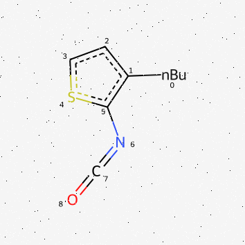 CCCCc1ccsc1N=C=O